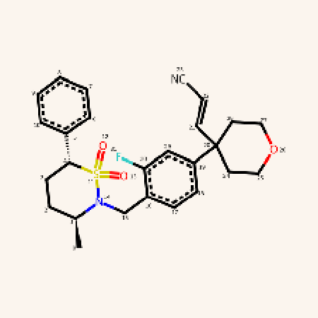 C[C@H]1CC[C@H](c2ccccc2)S(=O)(=O)N1Cc1ccc(C2(/C=C/C#N)CCOCC2)cc1F